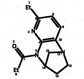 CCC(=O)N1c2nc(CC)ccc2N2CCC1C2